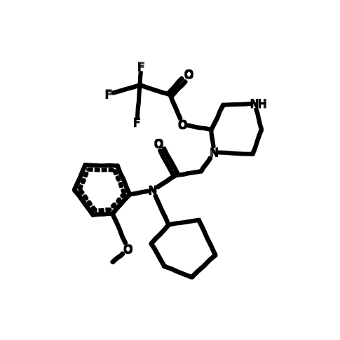 COc1ccccc1N(C(=O)CN1CCNCC1OC(=O)C(F)(F)F)C1CCCCC1